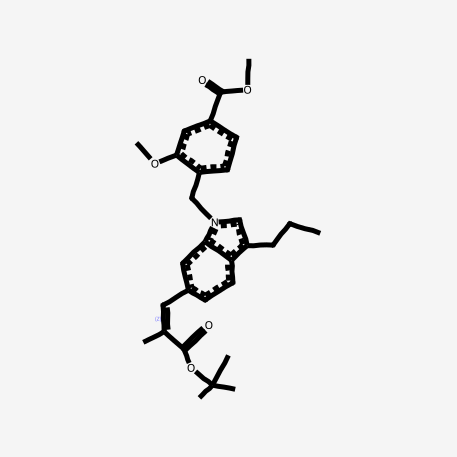 CCCc1cn(Cc2ccc(C(=O)OC)cc2OC)c2cc(/C=C(/C)C(=O)OC(C)(C)C)ccc12